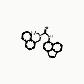 CN(Cc1cccc2ccccc12)C(=N)Nc1ccc2c3c(cccc13)C=C2